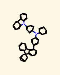 c1ccc(N(c2ccc(-c3cccc4c3-c3ccccc3C43CC4CCC3C4)cc2)c2ccc(-n3c4ccccc4c4ccccc43)cc2)cc1